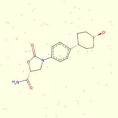 NC(=O)[C@H]1CN(c2ccc([C@H]3CC[S@+]([O-])CC3)cc2)C(=O)O1